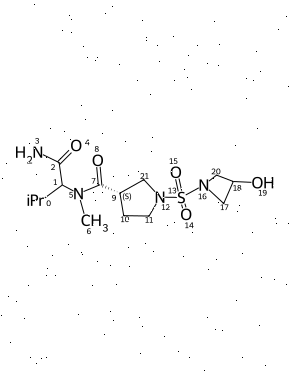 CC(C)C(C(N)=O)N(C)C(=O)[C@H]1CCN(S(=O)(=O)N2CC(O)C2)C1